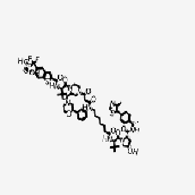 Cc1ncsc1-c1ccc([C@H](C)NC(=O)[C@@H]2C[C@@H](O)CN2C(=O)C(NC(=O)CCCCCCNC(=O)CC(=O)N2CCN(C(=O)C(NC(=O)c3cc4cc(C(F)(F)P(=O)(O)O)ccc4s3)C(C)(C)C)C(C(=O)N3CCOC(c4ccccc4)C3)C2)C(C)(C)C)cc1